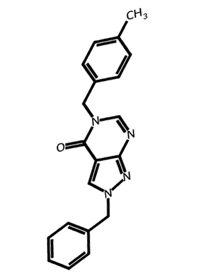 Cc1ccc(Cn2cnc3nn(Cc4ccccc4)cc3c2=O)cc1